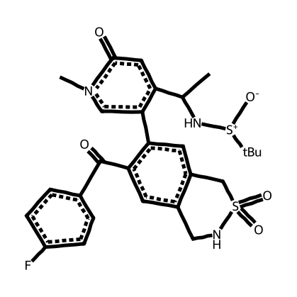 CC(N[S+]([O-])C(C)(C)C)c1cc(=O)n(C)cc1-c1cc2c(cc1C(=O)c1ccc(F)cc1)CNS(=O)(=O)C2